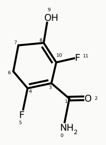 NC(=O)C1=C(F)CCC(O)=C1F